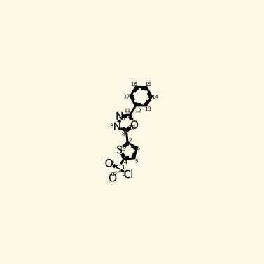 O=S(=O)(Cl)c1ccc(-c2nnc(-c3ccccc3)o2)s1